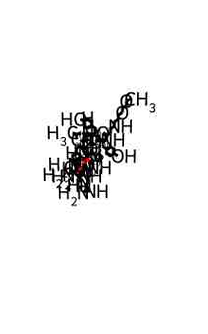 COCCOCCCNCCC(=O)N[C@@H](Cc1ccc(O)cc1)C(=O)C[C@@H](Cc1ccc(O)cc1)C(=O)N[C@@H](CC(C)C)C(=O)C[C@@H](Cc1ccccc1)C(=O)N[C@@H](CCCNC(=N)N)C(=O)N1CCC[C@H]1C(=O)N[C@@H](CCCNC(=N)N)C(=O)N[C@@H](CC(N)=O)C(N)=O